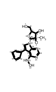 C[C@@]1(Cl)C(O)C(CO)O[C@H]1n1cc(-c2ccccc2)c2c(NO)ncnc21